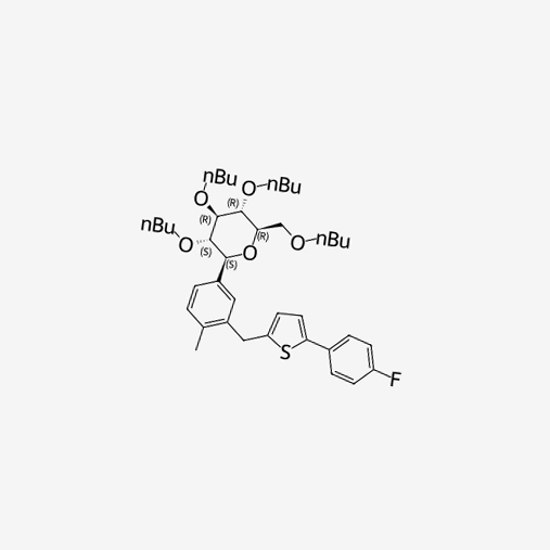 CCCCOC[C@H]1O[C@@H](c2ccc(C)c(Cc3ccc(-c4ccc(F)cc4)s3)c2)[C@H](OCCCC)[C@@H](OCCCC)[C@@H]1OCCCC